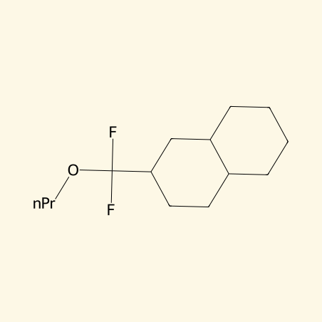 CCCOC(F)(F)C1CCC2CCCCC2C1